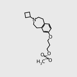 CS(=O)(=O)OCCCOc1ccc2c(c1)CCN(C1CCC1)CC2